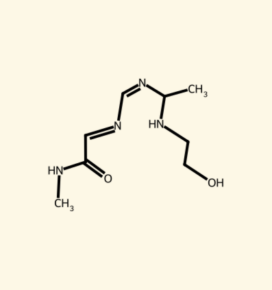 CNC(=O)/C=N/C=N\C(C)NCCO